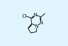 CC1=NN2CCC=C2C(Cl)=N1